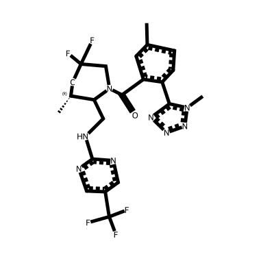 Cc1ccc(-c2nnnn2C)c(C(=O)N2CC(F)(F)C[C@@H](C)C2CNc2ncc(C(F)(F)F)cn2)c1